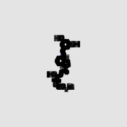 C=C(/C=C/[C@@H](O)C(C)(C)OC(=O)OCC)[C@H]1CC[C@H]2/C(=C/C=C3C[C@@H](O)C[C@H](O)C3)CCC[C@]12C